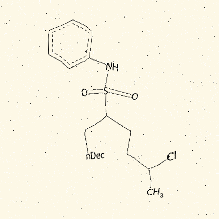 CCCCCCCCCCCC(CCC(C)Cl)S(=O)(=O)Nc1cc[c]cc1